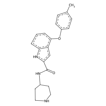 Cc1ccc(Oc2cccc3[nH]c(C(=O)NC4CCNCC4)cc23)cc1